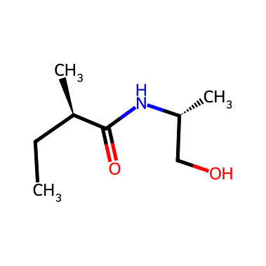 CC[C@@H](C)C(=O)N[C@H](C)CO